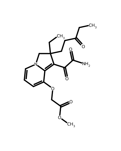 CCC(=O)CCC1(CC)CN2C=CC=C(OCC(=O)OC)C2=C1C(=O)C(N)=O